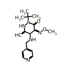 [CH]=C1NN(C(C)(C)C)C(=O)C(=NOC)C1NCc1ccncc1